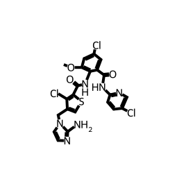 COc1cc(Cl)cc(C(=O)Nc2ccc(Cl)cn2)c1NC(=O)c1scc(Cn2ccnc2N)c1Cl